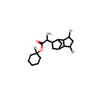 CCC1CC(CC)C2C3CC(CC3C(C)C(=O)OC3(CC)CCCCC3)C12